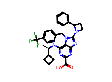 C[C@@H](Nc1nc(C(=O)O)nc2nc(N3CCC3c3ccccc3)n(Cc3ccc(C(F)(F)F)cc3)c12)C1CCC1